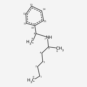 CCCCCC(C)NC(C)c1ccccc1